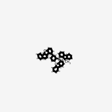 CC1(C)c2ccccc2-c2cccc(N(c3cccc(-c4cccc5oc6c7ccccc7ccc6c45)c3)c3cccc4c3oc3ccccc34)c21